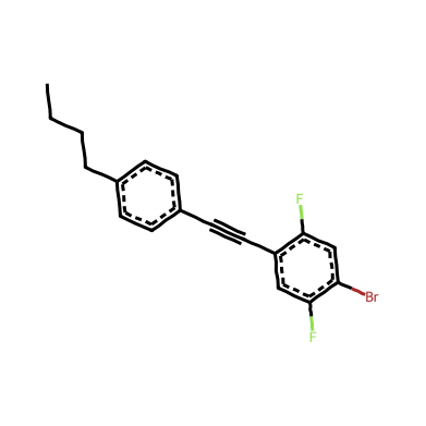 CCCCc1ccc(C#Cc2cc(F)c(Br)cc2F)cc1